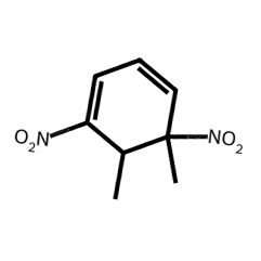 CC1C([N+](=O)[O-])=CC=CC1(C)[N+](=O)[O-]